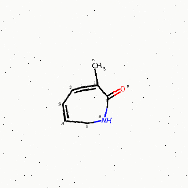 CC1=CC=CCNC1=O